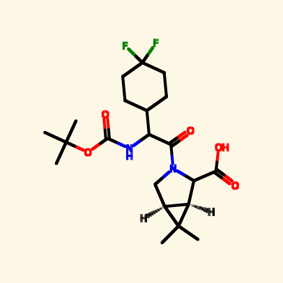 CC(C)(C)OC(=O)NC(C(=O)N1C[C@H]2[C@@H](C1C(=O)O)C2(C)C)C1CCC(F)(F)CC1